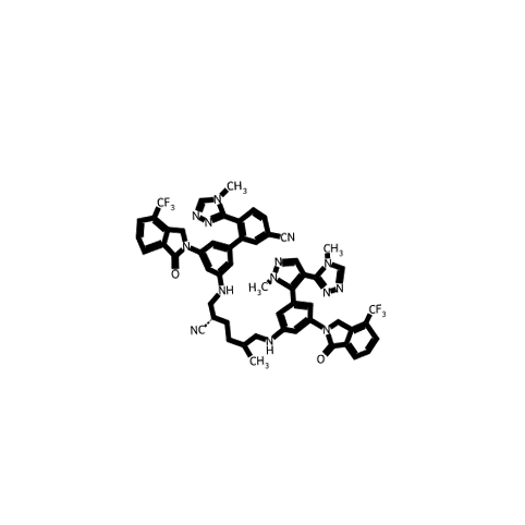 CC(CC[C@H](C#N)CNc1cc(-c2cc(C#N)ccc2-c2nncn2C)cc(N2Cc3c(cccc3C(F)(F)F)C2=O)c1)CNc1cc(-c2c(-c3nncn3C)cnn2C)cc(N2Cc3c(cccc3C(F)(F)F)C2=O)c1